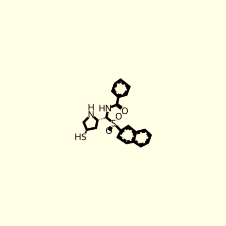 O=C(NC([C@@H]1C[C@@H](S)CN1)S(=O)(=O)c1ccc2ccccc2c1)c1ccccc1